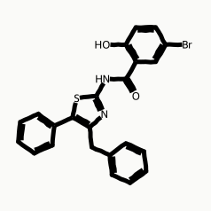 O=C(Nc1nc(Cc2ccccc2)c(-c2ccccc2)s1)c1cc(Br)ccc1O